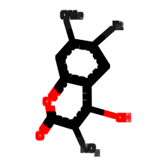 CCc1cc2c(O)c([N+](=O)[O-])c(=O)oc2cc1OC